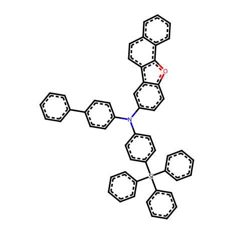 c1ccc(-c2ccc(N(c3ccc([Si](c4ccccc4)(c4ccccc4)c4ccccc4)cc3)c3ccc4oc5c6ccccc6ccc5c4c3)cc2)cc1